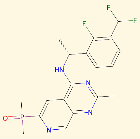 Cc1nc(N[C@H](C)c2cccc(C(F)F)c2F)c2cc(P(C)(C)=O)ncc2n1